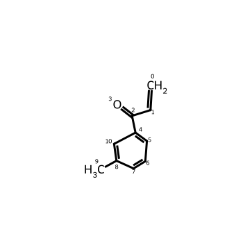 C=CC(=O)c1cccc(C)c1